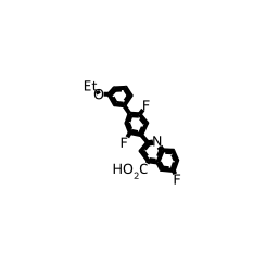 CCOc1cccc(-c2cc(F)c(-c3cc(C(=O)O)c4cc(F)ccc4n3)cc2F)c1